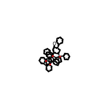 c1ccc(N(c2cc3c(cc2C2(c4ccccc4)c4ccccc4-c4ccccc42)oc2ccccc23)c2cccc3c2-c2ccccc2C32c3ccccc3-c3ccccc32)cc1